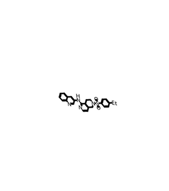 CCc1ccc(S(=O)(=O)N2CCc3c(ccnc3Nc3cnc4ccccc4c3)C2)cc1